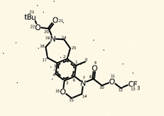 Cc1c2c(cc3c1N(C(=O)COCC(F)(F)F)CCO3)CCN(C(=O)OC(C)(C)C)CC2